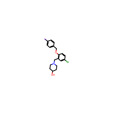 OC1CCN(Cc2cc(Br)ccc2OCc2ccc(I)cc2)CC1